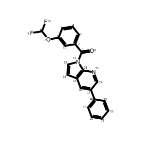 O=C(c1cccc(OC(F)F)c1)n1ccc2cc(-c3ccccc3)cnc21